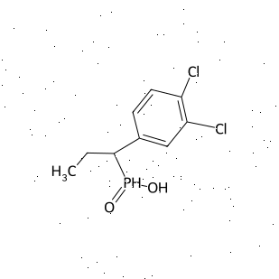 CCC(c1ccc(Cl)c(Cl)c1)[PH](=O)O